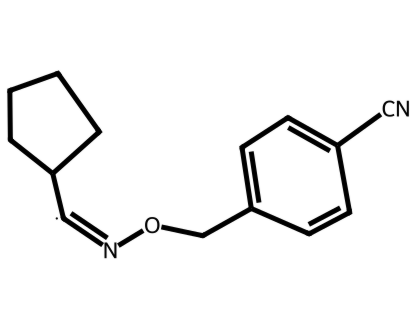 N#Cc1ccc(CO/N=[C]\C2CCCC2)cc1